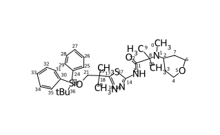 CN(C1CCOCC1)C(C)(C)C(=O)Nc1nnc(C(C)(C)CO[Si](c2ccccc2)(c2ccccc2)C(C)(C)C)s1